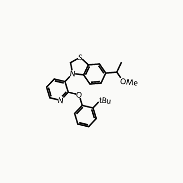 COC(C)c1ccc2c(c1)SCN2c1cccnc1Oc1ccccc1C(C)(C)C